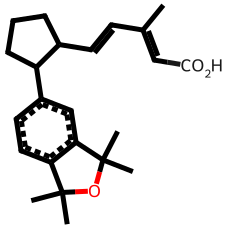 CC(C=CC1CCCC1c1ccc2c(c1)C(C)(C)OC2(C)C)=CC(=O)O